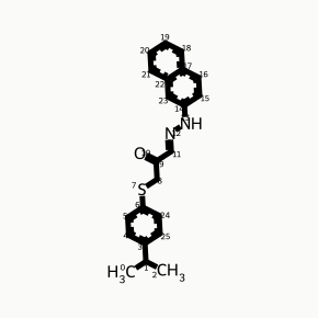 CC(C)c1ccc(SCC(=O)C=NNc2ccc3ccccc3c2)cc1